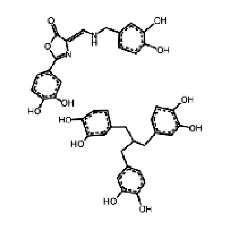 O=C1OC(c2ccc(O)c(O)c2)=NC1=CNCc1ccc(O)c(O)c1.Oc1ccc(CC(Cc2ccc(O)c(O)c2)Cc2ccc(O)c(O)c2)cc1O